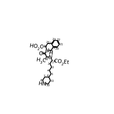 CCOC(=O)[C@H](CCCCC1CCNCC1)N[C@@H](C)C(=O)N1Cc2ccccc2C[C@H]1C(=O)O